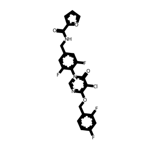 O=C(NCc1cc(F)c(-n2cnc(OCc3ccc(F)cc3F)c(Cl)c2=O)c(F)c1)c1ccco1